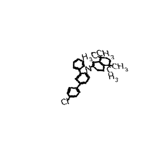 CC1(C)CCC(C)(C)c2cc(-n3c4ccccc4c4cc(-c5ccc(Cl)cc5)ccc43)ccc21